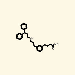 O=C(O)CCCc1cccc(CCCNCCC(c2ccccc2)c2ccccc2)c1